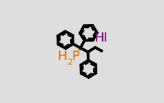 CCC(c1ccccc1)C(P)(c1ccccc1)c1ccccc1.I